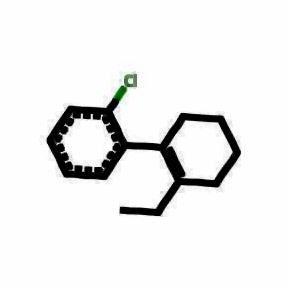 CCC1=C(c2ccccc2Cl)CCCC1